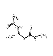 COC(=O)C[C@H](C)NC(N)=O